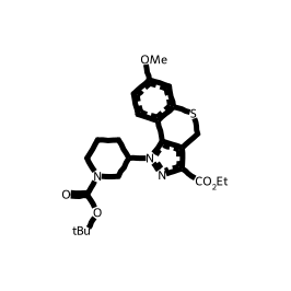 CCOC(=O)c1nn(C2CCCN(C(=O)OC(C)(C)C)C2)c2c1CSc1cc(OC)ccc1-2